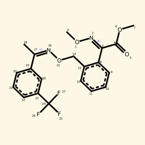 CO/N=C(/C(=O)OC)c1ccccc1CO/N=C(/C)c1cccc(C(F)(F)F)c1